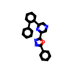 c1ccc(-c2nnc(-c3cncc(-c4ccccc4-c4ccccc4)n3)o2)cc1